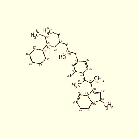 CCC(C[C@@H](O)CC1=CC(I)C(C(C)C(C)C2=CC(C)C3CCC=CC23)C=C1)C[C@@H](CC)C1CCCCC1